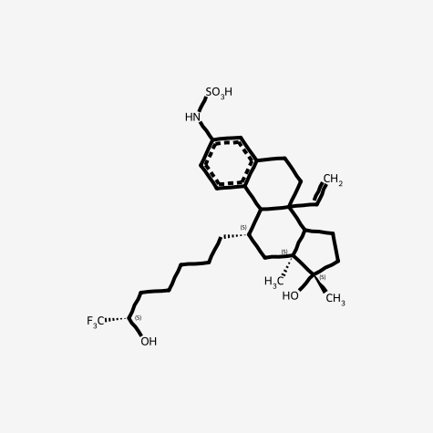 C=CC12CCc3cc(NS(=O)(=O)O)ccc3C1[C@@H](CCCCC[C@H](O)C(F)(F)F)C[C@@]1(C)C2CC[C@]1(C)O